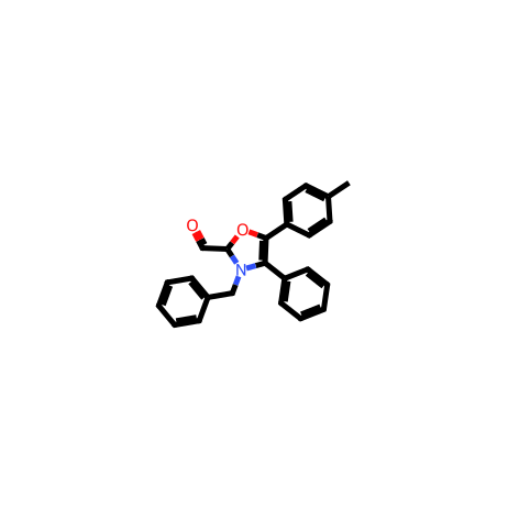 Cc1ccc(C2=C(c3ccccc3)N(Cc3ccccc3)C(C=O)O2)cc1